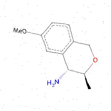 COc1ccc2c(c1)[C@@H](N)[C@H](C)OC2